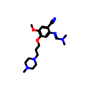 COc1cc(C#N)c(N=CN(C)C)cc1OCCCN1CCN(C)CC1